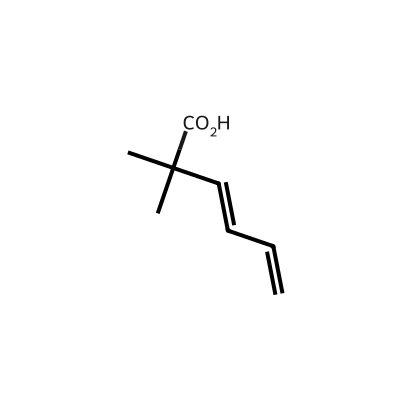 C=C/C=C/C(C)(C)C(=O)O